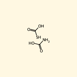 NC(=O)O.O=C(O)S